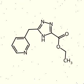 CCOC(=O)c1nnc(Cc2cccnc2)[nH]1